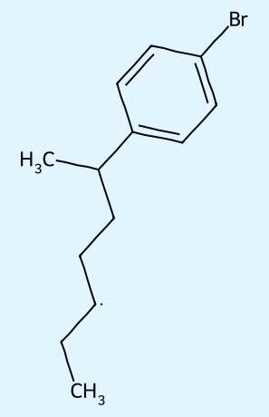 CC[CH]CCC(C)c1ccc(Br)cc1